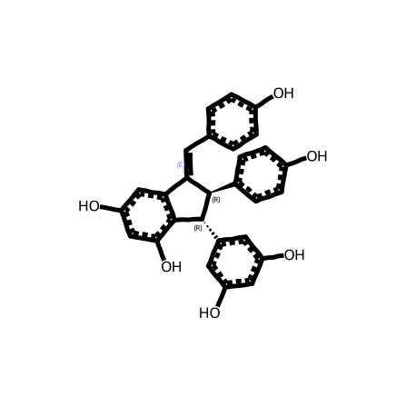 Oc1ccc(/C=C2/c3cc(O)cc(O)c3[C@@H](c3cc(O)cc(O)c3)[C@@H]2c2ccc(O)cc2)cc1